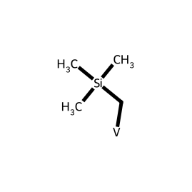 C[Si](C)(C)[CH2][V]